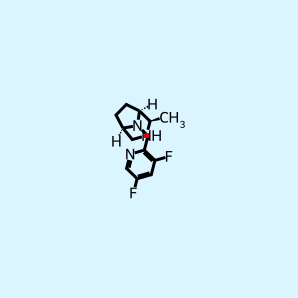 C[C@H]1NC[C@H]2CC[C@@H]1N2Cc1ncc(F)cc1F